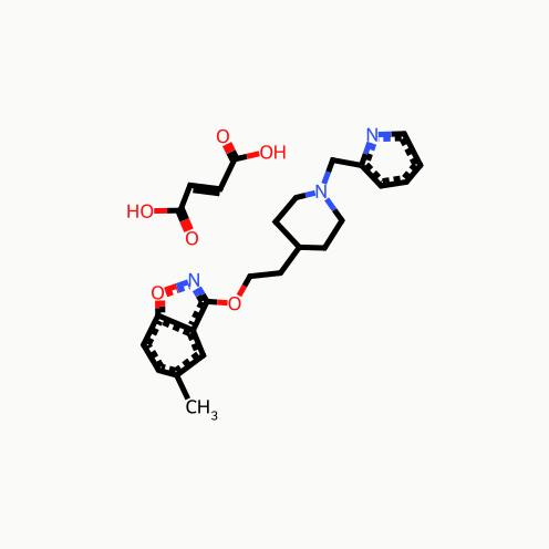 Cc1ccc2onc(OCCC3CCN(Cc4ccccn4)CC3)c2c1.O=C(O)/C=C/C(=O)O